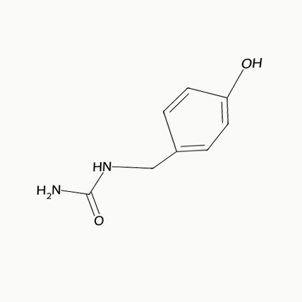 NC(=O)NCc1ccc(O)cc1